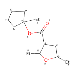 CCC1CC(C(=O)OC2(CC)CCCC2)C(CC)O1